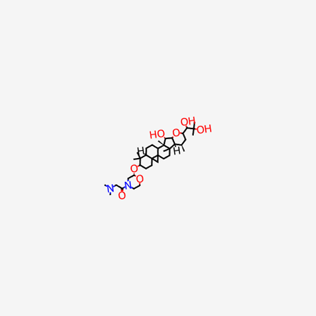 C[C@@H]1CC(C(O)C(C)(C)O)OC2[C@H]1C1(C)CCC34CC35CCC(O[C@H]3CN(C(=O)CN(C)C)CCO3)C(C)(C)[C@@H]5CCC4[C@]1(C)[C@H]2O